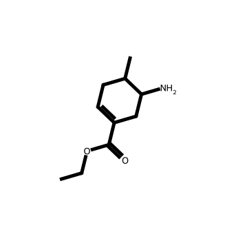 CCOC(=O)C1=CCC(C)C(N)C1